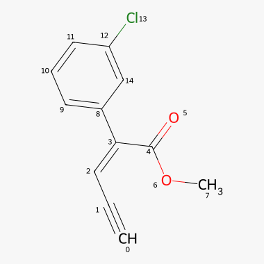 C#CC=C(C(=O)OC)c1cccc(Cl)c1